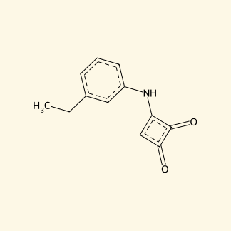 CCc1cccc(Nc2cc(=O)c2=O)c1